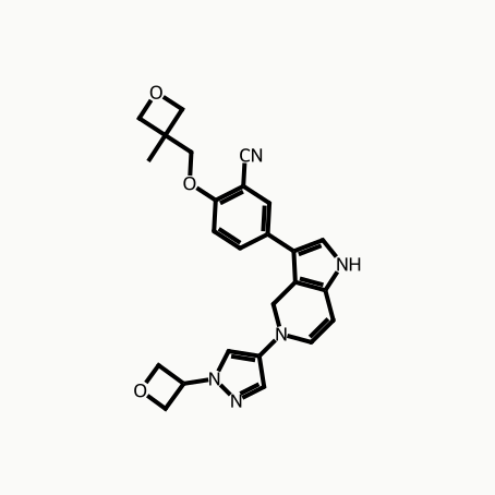 CC1(COc2ccc(-c3c[nH]c4c3CN(c3cnn(C5COC5)c3)C=C4)cc2C#N)COC1